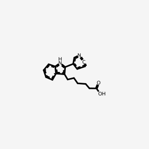 O=C(O)CCCCCc1c(-c2cccnc2)[nH]c2ccccc12